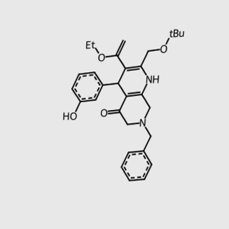 C=C(OCC)C1=C(COC(C)(C)C)NC2=C(C(=O)CN(Cc3ccccc3)C2)C1c1cccc(O)c1